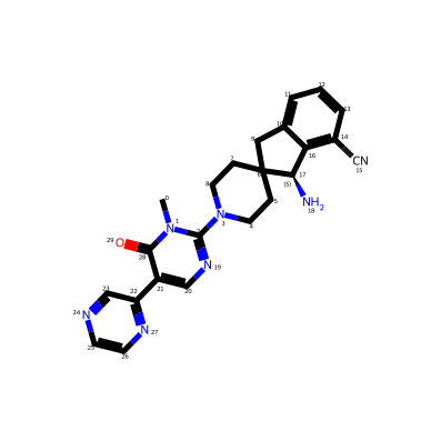 Cn1c(N2CCC3(CC2)Cc2cccc(C#N)c2[C@H]3N)ncc(-c2cnccn2)c1=O